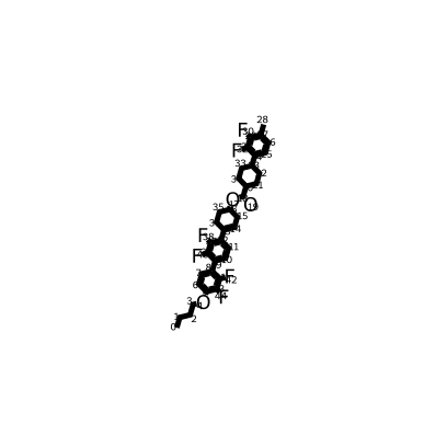 CCCCOc1ccc(-c2ccc(C3=CCC(OC(=O)C4CCC(c5ccc(C)c(F)c5F)CC4)CC3)c(F)c2F)c(F)c1F